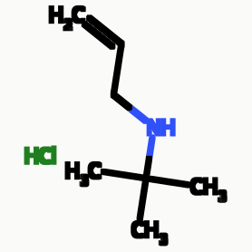 C=CCNC(C)(C)C.Cl